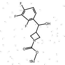 CC(C)(C)OC(=O)N1CC(C(O)c2ccc(F)c(F)c2F)C1